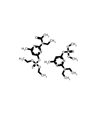 CCN(CC)c1nc(C)cc(OP(=S)(OC)OC)n1.CCOP(=S)(OCC)Oc1cc(C)nc(N(CC)C(C)=O)n1